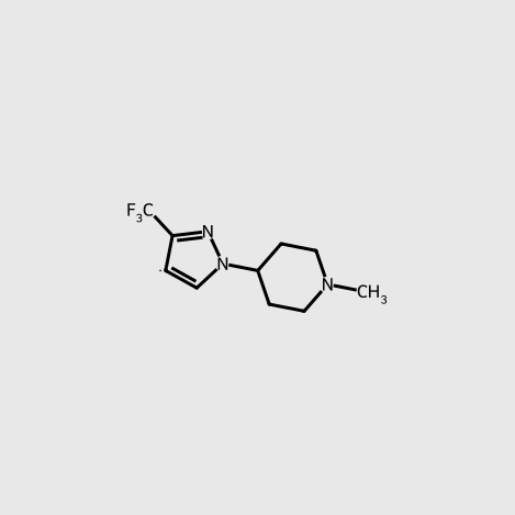 CN1CCC(n2c[c]c(C(F)(F)F)n2)CC1